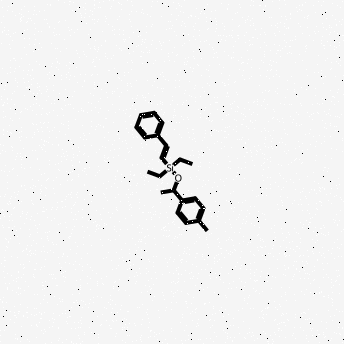 CC[Si](C=Cc1ccccc1)(CC)OC(C)c1ccc(C)cc1